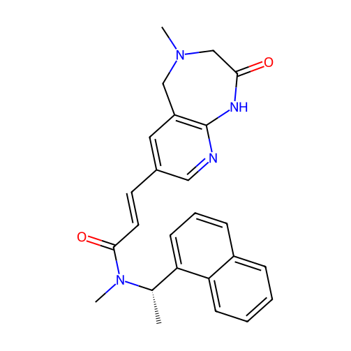 C[C@@H](c1cccc2ccccc12)N(C)C(=O)/C=C/c1cnc2c(c1)CN(C)CC(=O)N2